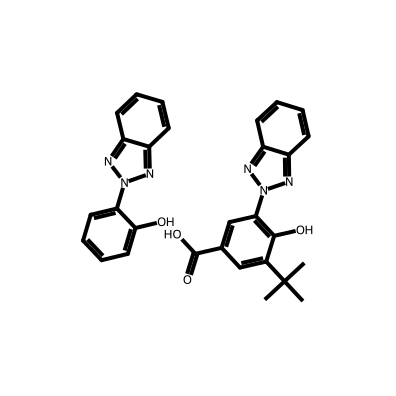 CC(C)(C)c1cc(C(=O)O)cc(-n2nc3ccccc3n2)c1O.Oc1ccccc1-n1nc2ccccc2n1